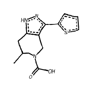 CC1Cc2[nH]nc(-c3cccs3)c2CN1C(=O)O